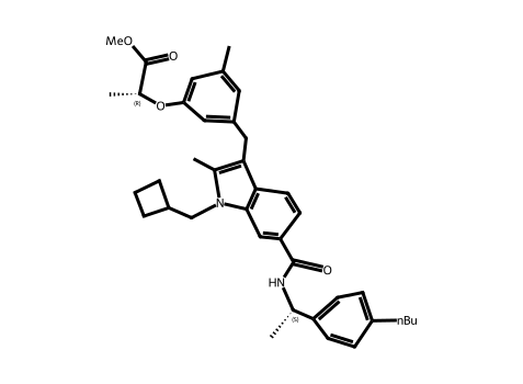 CCCCc1ccc([C@H](C)NC(=O)c2ccc3c(Cc4cc(C)cc(O[C@H](C)C(=O)OC)c4)c(C)n(CC4CCC4)c3c2)cc1